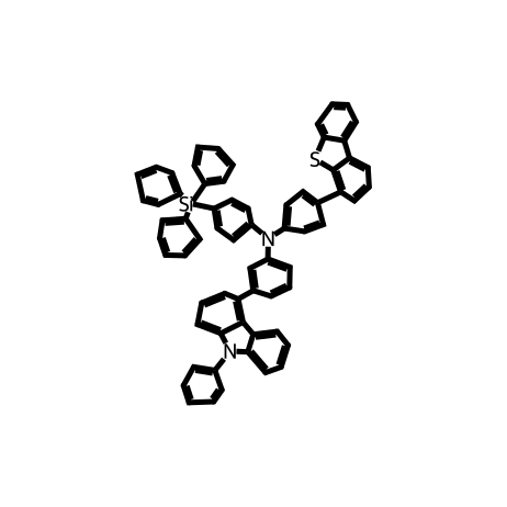 c1ccc(-n2c3ccccc3c3c(-c4cccc(N(c5ccc(-c6cccc7c6sc6ccccc67)cc5)c5ccc([Si](c6ccccc6)(c6ccccc6)c6ccccc6)cc5)c4)cccc32)cc1